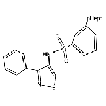 CCCCCCCc1cccc(S(=O)(=O)Nc2csnc2-c2ccccc2)c1